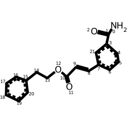 NC(=O)c1cccc(/C=C/C(=O)OCCc2ccccc2)c1